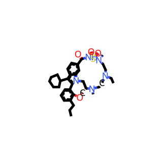 CCCc1cccc2c1OCC1Cn3c-2c(C2CCCCC2)c2ccc(cc23)C(=O)NS(=O)(=O)N(C)CCN(CC)CCN1C